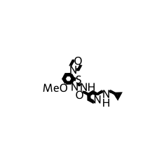 COc1ccc(N2CCOCC2)c2sc(NC(=O)c3ccnc(CNCC4CC4)c3)nc12